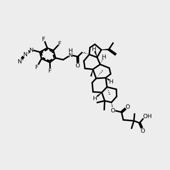 C=C(C)[C@@H]1CC[C@]2(CC(=O)NCc3c(F)c(F)c(N=[N+]=[N-])c(F)c3F)CC[C@]3(C)[C@H](CC[C@@H]4[C@@]5(C)CC[C@H](OC(=O)CC(C)(C)C(=O)O)C(C)(C)[C@@H]5CC[C@]43C)[C@@H]12